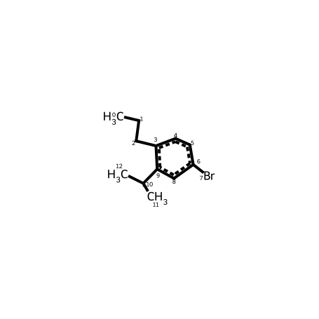 CCCc1ccc(Br)cc1[C](C)C